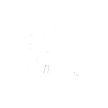 O=C(OS(=O)(=O)Nc1cccnc1)C(F)(F)F